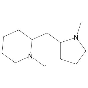 [CH2]N1CCCCC1CC1CCCN1C